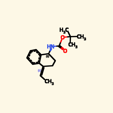 C/C=C1\CC[C@H](NC(=O)OC(C)(C)C)c2ccccc21